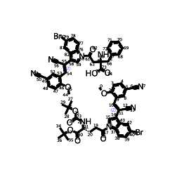 COc1ccc(C#N)cc1/C=C(\C#N)c1cn(C(=O)CC[C@@H](NC(=O)OC(C)(C)C)C(=O)OC(C)(C)C)c2ccc(Br)cc12.COc1ccc(C#N)cc1/C=C(\C#N)c1cn(C(=O)C[C@](N)(Cc2ccccc2)C(=O)O)c2ccc(Br)cc12